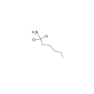 BC(Cl)(Cl)CCCCC